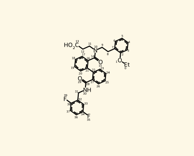 CCOc1ccccc1CCN(CCC(=O)O)C(=O)c1ccccc1-c1ccccc1C(=O)NCc1cc(F)ccc1F